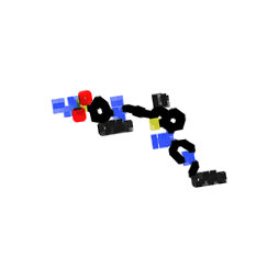 CCc1c(C#CCNc2ccc(S(N)(=O)=O)cc2OC)sc2c(NC3CCN(CCOC)CC3)cccc12